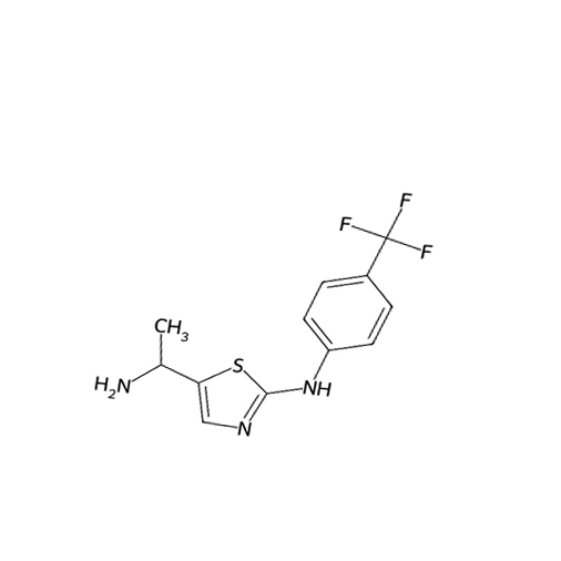 CC(N)c1cnc(Nc2ccc(C(F)(F)F)cc2)s1